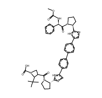 COC(=O)N[C@@H](C(=O)N1CCC[C@H]1c1ncc(-c2ccc(-c3ccc(-c4cnc([C@@H]5CCCN5C(=O)C5CN(C(=O)O)C5C(C)(C)C)[nH]4)cc3)cc2)[nH]1)c1ccccc1